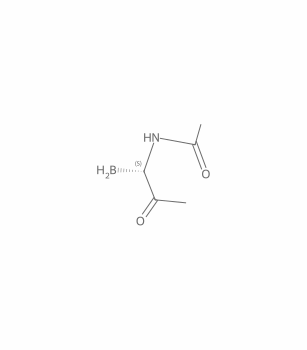 B[C@H](NC(C)=O)C(C)=O